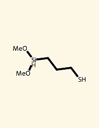 CO[SiH](CCCS)OC